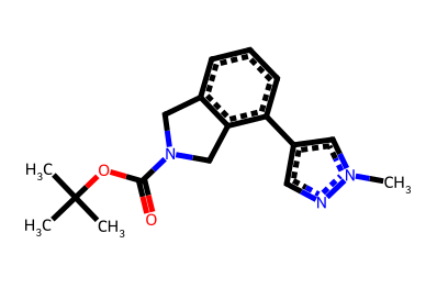 Cn1cc(-c2cccc3c2CN(C(=O)OC(C)(C)C)C3)cn1